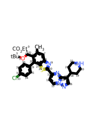 CCOC(=O)[C@@H](OC(C)(C)C)c1c(C)cc2nc(-c3ccn4ncc(C5CCNCC5)c4n3)sc2c1-c1ccc(Cl)cc1